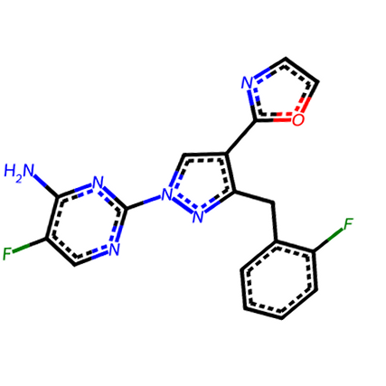 Nc1nc(-n2cc(-c3ncco3)c(Cc3ccccc3F)n2)ncc1F